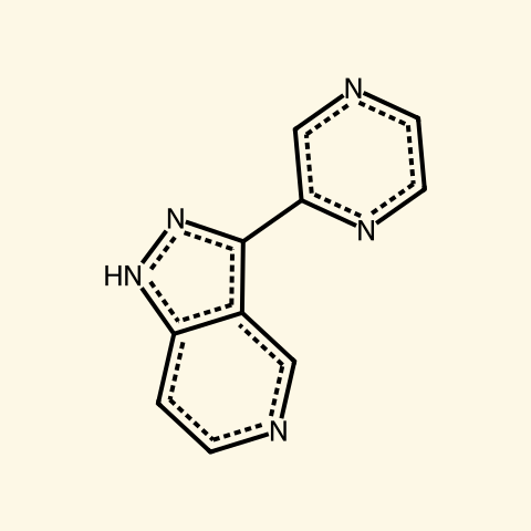 c1cnc(-c2n[nH]c3ccncc23)cn1